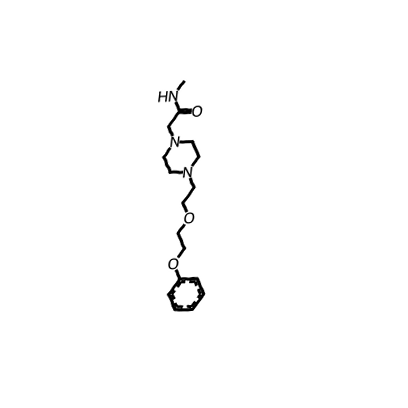 CNC(=O)CN1CCN(CCOCCOc2ccccc2)CC1